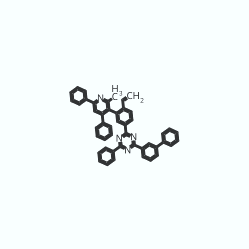 C=Cc1ccc(-c2nc(-c3ccccc3)nc(-c3cccc(-c4ccccc4)c3)n2)cc1-c1c(-c2ccccc2)cc(-c2ccccc2)nc1C